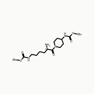 CC(C)(C)OC(=O)NCCCC[C@@H](N)C(=O)N1CCC(NC(=O)OC(C)(C)C)CC1